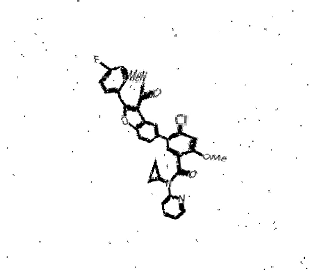 CNC(=O)c1c(-c2ccc(F)cc2)oc2ccc(-c3cc(C(=O)N(c4ccccn4)C4CC4)c(OC)cc3Cl)cc12